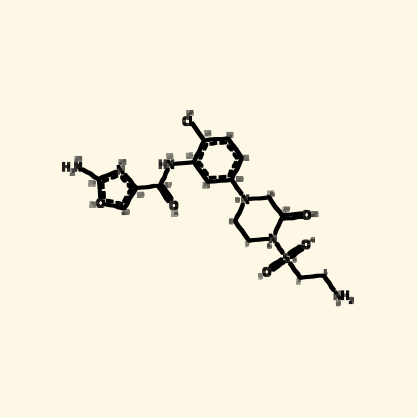 NCCS(=O)(=O)N1CCN(c2ccc(Cl)c(NC(=O)c3coc(N)n3)c2)CC1=O